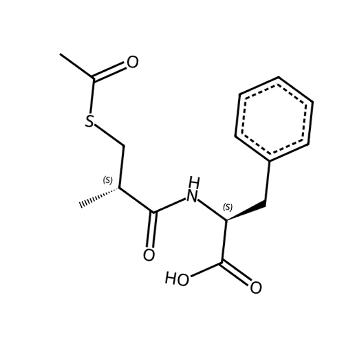 CC(=O)SC[C@@H](C)C(=O)N[C@@H](Cc1ccccc1)C(=O)O